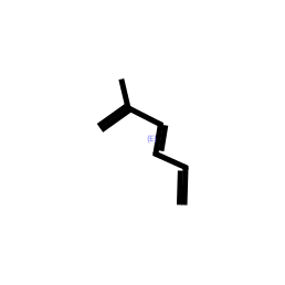 C=C/C=C/C(=C)C